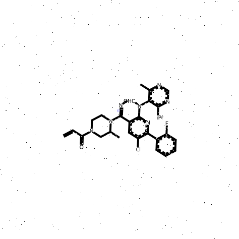 C=CC(=O)N1CCN(/C(=N/C)c2cc(Cl)c(-c3ccccc3F)nc2N(C=O)c2c(C)ncnc2C(C)C)C(C)C1